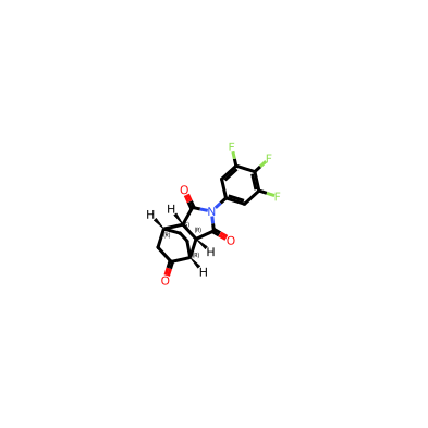 O=C1C[C@H]2CC[C@@H]1[C@H]1C(=O)N(c3cc(F)c(F)c(F)c3)C(=O)[C@@H]21